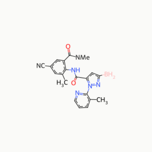 Bc1cc(C(=O)Nc2c(C)cc(C#N)cc2C(=O)NC)n(-c2ncccc2C)n1